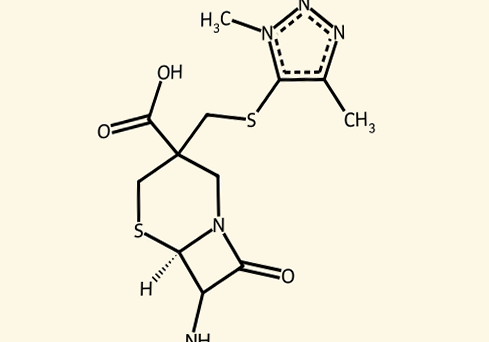 Cc1nnn(C)c1SCC1(C(=O)O)CS[C@@H]2C(N)C(=O)N2C1